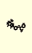 Cc1nnc(N(C)C)c2nn(-c3cccc(OC(CN(C)C)c4cccnc4)c3)c(C)c12